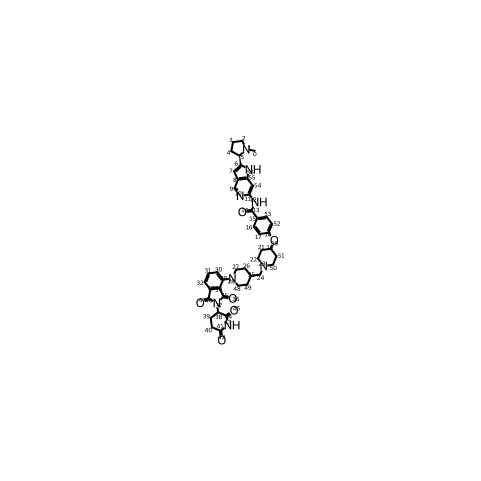 CN1CCC[C@@H]1c1cc2cnc(NC(=O)c3ccc(OC4CCN(CC5CCN(c6cccc7c6C(=O)N(C6CCC(=O)NC6=O)C7=O)CC5)CC4)cc3)cc2[nH]1